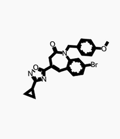 COc1ccc(CN2C(=O)CC(c3nc(C4CC4)no3)=Cc3ccc(Br)cc32)cc1